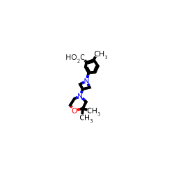 Cc1ccc(N2CC(N3CCOC(C)(C)C3)C2)cc1C(=O)O